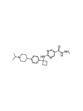 CC(C)N1CCC(c2ccc(C3(Nc4ncc(C(=O)NN)cn4)CCC3)cc2)CC1